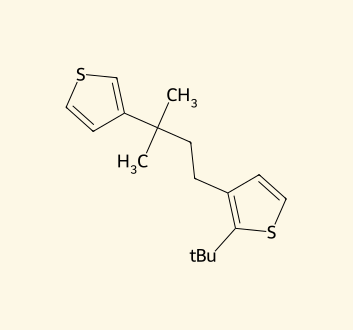 CC(C)(C)c1sccc1CCC(C)(C)c1ccsc1